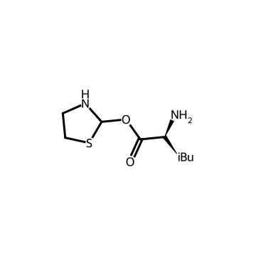 CC[C@H](C)[C@H](N)C(=O)OC1NCCS1